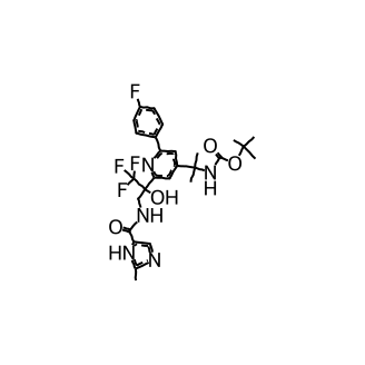 Cc1ncc(C(=O)NCC(O)(c2cc(C(C)(C)NC(=O)OC(C)(C)C)cc(-c3ccc(F)cc3)n2)C(F)(F)F)[nH]1